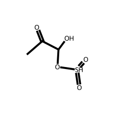 CC(=O)C(O)O[SH](=O)=O